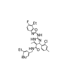 CC/C(C)=C/C(=C\C(C)CC)CNC(=O)C1=C(C)NC(Nc2nc3ccc(F)c(CC)c3o2)=NC1c1ccc(C)cc1Cl